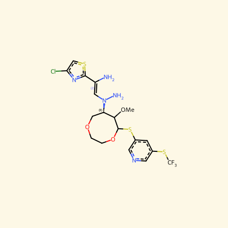 COC1C(Sc2cncc(SC(F)(F)F)c2)OCCOC[C@H]1N(N)/C=C(\N)c1nc(Cl)cs1